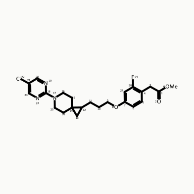 COC(=O)Cc1ccc(OCCCC2CC23CCN(c2ncc(Cl)cn2)CC3)cc1F